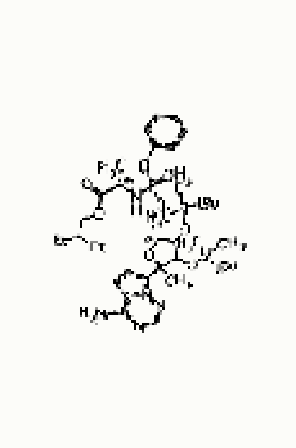 CCC(CC)COC(=O)[C@H](C)NP(=O)(OC[C@H]1O[C@@](C)(c2ccc3c(N)ncnn23)C(O[Si](C)(C)C(C)(C)C)C1O[Si](C)(C)C(C)(C)C)Oc1ccccc1